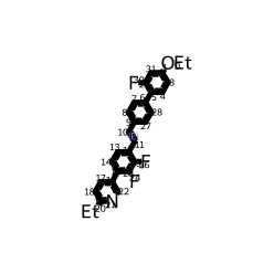 CCOc1ccc(-c2ccc(/C=C/c3ccc(-c4ccc(CC)nc4)c(F)c3F)cc2)c(F)c1